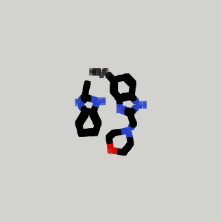 Cc1nc2ccccc2[nH]1.O=C(O)c1ccc2[nH]c(CN3CCOCC3)nc2c1